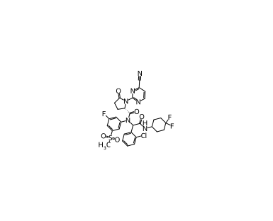 CS(=O)(=O)c1cc(F)cc(N(C(=O)[C@@H]2CCC(=O)N2c2nccc(C#N)n2)C(C(=O)NC2CCC(F)(F)CC2)c2ccccc2Cl)c1